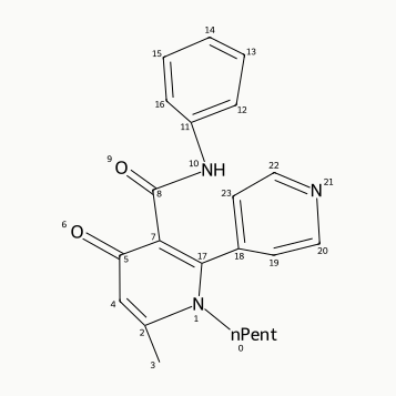 CCCCCn1c(C)cc(=O)c(C(=O)Nc2ccccc2)c1-c1ccncc1